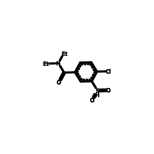 CCN(CC)C(=O)c1ccc(Cl)c([SH](=O)=O)c1